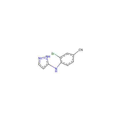 N#Cc1ccc(Nc2ccn[nH]2)c(Br)c1